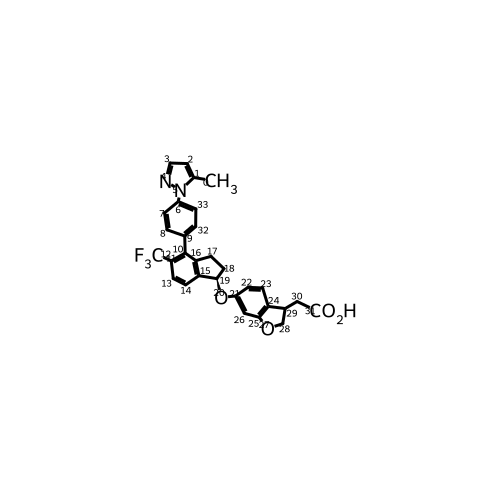 Cc1ccnn1-c1ccc(-c2c(C(F)(F)F)ccc3c2CC[C@H]3Oc2ccc3c(c2)OCC3CC(=O)O)cc1